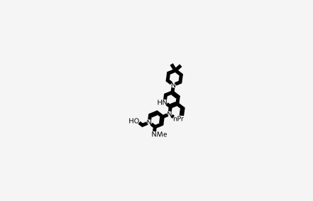 C=CC1=C(N(CCC)C2=CC(NC)N(CO)C=C2)NCC(N2CCC(C)(C)CC2)=C1